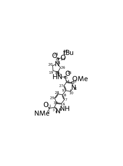 CNC(=O)c1n[nH]c2cc(-c3cnc(OC)c(C(=O)N[C@H]4CCN(C(=O)OC(C)(C)C)C4)c3)ccc12